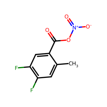 Cc1cc(F)c(F)cc1C(=O)O[N+](=O)[O-]